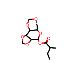 CCC(C)C(=O)OC1OC2COCOC2C2OCOC12